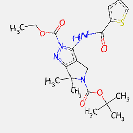 CCOC(=O)n1nc2c(c1NC(=O)c1cccs1)CN(C(=O)OC(C)(C)C)C2(C)C